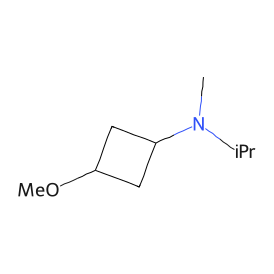 COC1CC(N(C)C(C)C)C1